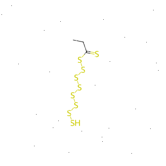 CCC(=S)SSSSSSSS